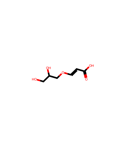 O=C(O)C=COCC(O)CO